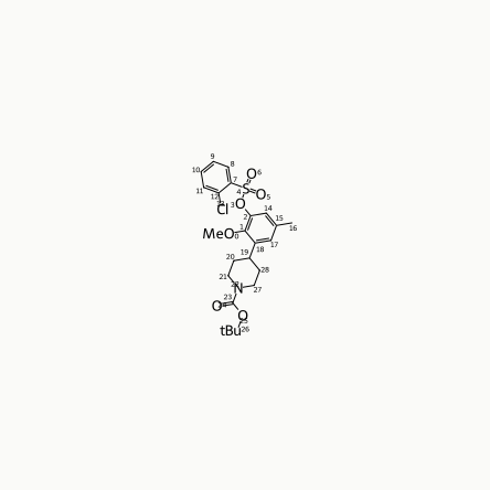 COc1c(OS(=O)(=O)c2ccccc2Cl)cc(C)cc1C1CCN(C(=O)OC(C)(C)C)CC1